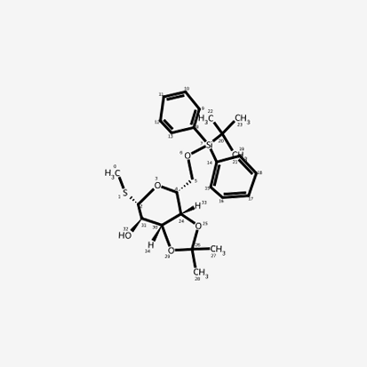 CS[C@@H]1O[C@H](CO[Si](c2ccccc2)(c2ccccc2)C(C)(C)C)[C@@H]2OC(C)(C)O[C@@H]2[C@H]1O